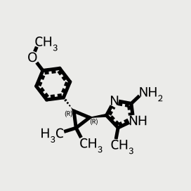 COc1ccc([C@@H]2[C@@H](c3nc(N)[nH]c3C)C2(C)C)cc1